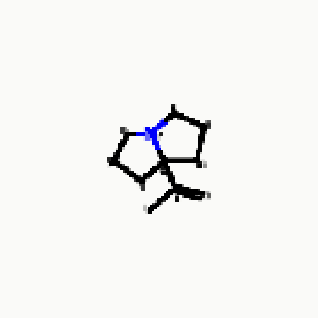 C=C(C)C12CCCN1CCC2